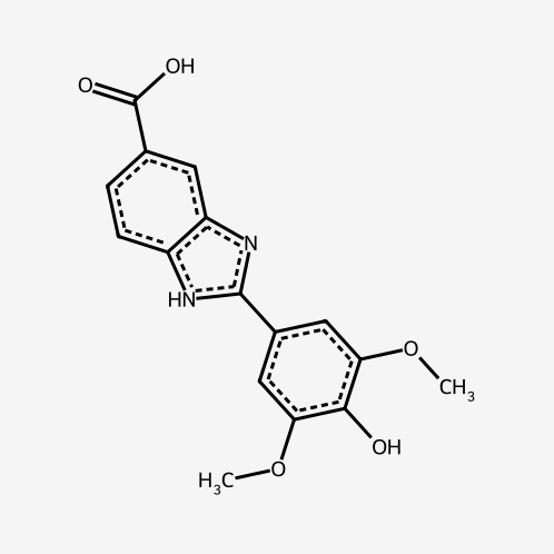 COc1cc(-c2nc3cc(C(=O)O)ccc3[nH]2)cc(OC)c1O